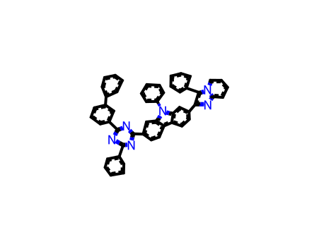 c1ccc(-c2cccc(-c3nc(-c4ccccc4)nc(-c4ccc5c6ccc(-c7nc8ccccn8c7-c7ccccc7)cc6n(-c6ccccc6)c5c4)n3)c2)cc1